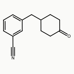 N#Cc1cccc(CC2CCC(=O)CC2)c1